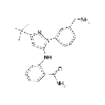 CC(C)(C)c1cc(Nc2ccccc2C(N)=O)n(-c2cccc(CN)c2)n1